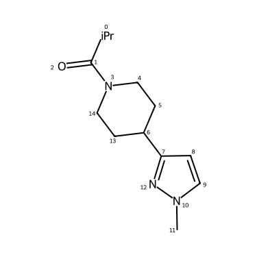 CC(C)C(=O)N1CCC(c2ccn(C)n2)CC1